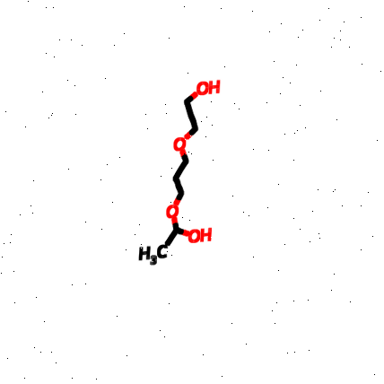 CC(O)OCCCOCCO